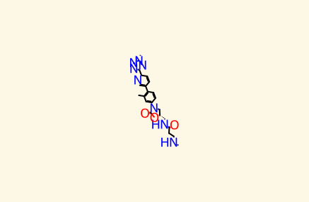 CNCCC(=O)NC[C@H]1CN(c2ccc(-c3ccc(-c4nnn(C)n4)nc3)c(C)c2)C(=O)O1